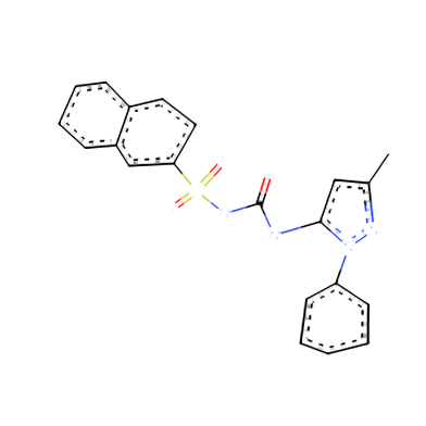 Cc1cc(NC(=O)NS(=O)(=O)c2ccc3ccccc3c2)n(-c2ccccc2)n1